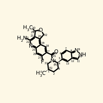 C[C@H]1CC[C@H](c2ccc3n[nH]cc3c2)N(C(=O)c2cc3c4c(c(N)nc3cc2F)[C@@H](C)OC4)C1